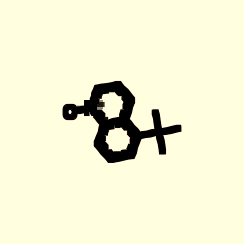 CC(C)(C)c1cccc2c1ccc[n+]2[O-]